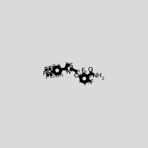 NC(=O)c1c(F)ccc(OCc2nc(-c3ccc(S(F)(F)(F)(F)F)cc3)cs2)c1F